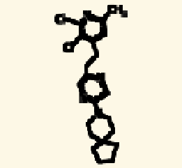 Cc1cc(CCc2cnc(N3CCC4(CCCC4)CC3)cn2)c(Cl)c(Cl)n1